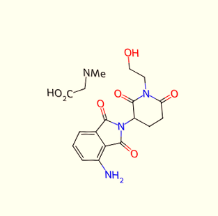 CNCC(=O)O.Nc1cccc2c1C(=O)N(C1CCC(=O)N(CCO)C1=O)C2=O